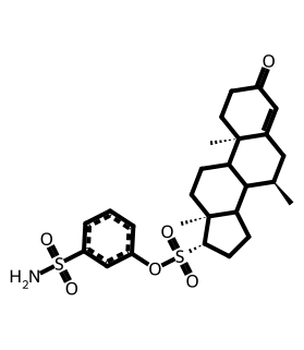 C[C@@H]1CC2=CC(=O)CC[C@]2(C)C2CC[C@@]3(C)C(CC[C@@H]3S(=O)(=O)Oc3cccc(S(N)(=O)=O)c3)C21